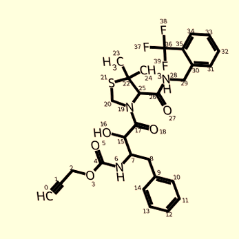 C#CCOC(=O)NC(Cc1ccccc1)C(O)C(=O)N1CSC(C)(C)C1C(=O)NCc1ccccc1C(F)(F)F